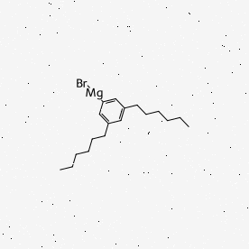 CCCCCCc1cc(CCCCCC)c[c]([Mg][Br])c1